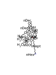 C=CCOC(=O)O[C@@H]1C(COC2OC(COC)[C@@H](OP(=O)(OCC=C)OCC=C)C(OCCC(CCCCCCC)OC)[C@H]2NC(=O)CCCCCCCCC/C=C\CCCCCC)OC(OP(=O)(OCC=C)OCC=C)[C@H](NC(=O)CC(=O)CCCCCCCCCCC)C1OCCCCCCCCCC